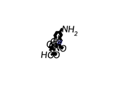 CC1(C)[C@H](C(=O)O)N2C(=O)/C(=C/c3cc(CN)ccn3)[C@H]2S1(=O)=O